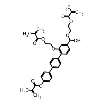 C=C(C)C(=O)OCCOc1cc(C(O)OCCOC(=O)C(=C)C)ccc1-c1ccc(-c2ccc(OC(=O)C(=C)C)cc2)cc1